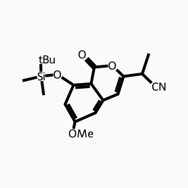 COc1cc(O[Si](C)(C)C(C)(C)C)c2c(=O)oc(C(C)C#N)cc2c1